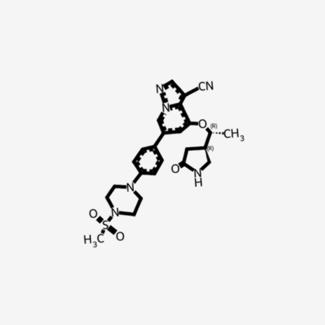 C[C@@H](Oc1cc(-c2ccc(N3CCN(S(C)(=O)=O)CC3)cc2)cn2ncc(C#N)c12)[C@H]1CNC(=O)C1